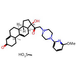 COc1cccc(N2CCN(CC(=O)[C@@]3(O)CC[C@H]4[C@@H]5CCC6=CC(=O)CC[C@]6(C)C5=CC[C@@]43C)CC2)n1.CS(=O)(=O)O